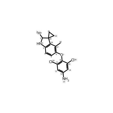 [2H]C1Nc2ccc(Oc3c(Cl)cc(N)cc3Cl)c(C)c2C12CC2